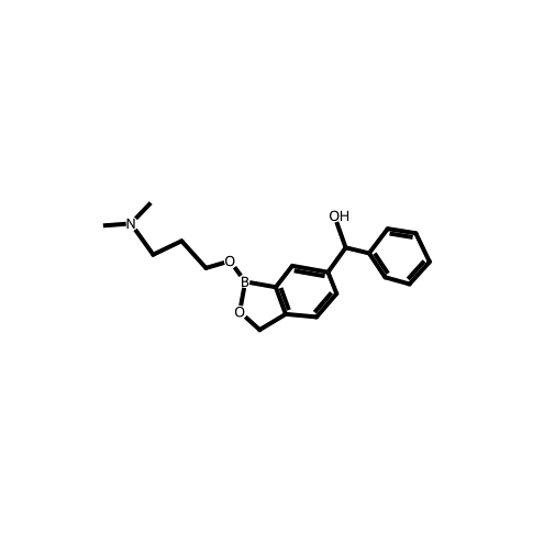 CN(C)CCCOB1OCc2ccc(C(O)c3ccccc3)cc21